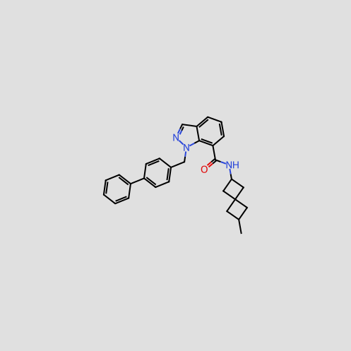 CC1CC2(C1)CC(NC(=O)c1cccc3cnn(Cc4ccc(-c5ccccc5)cc4)c13)C2